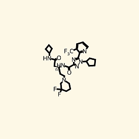 O=C(C[C@H](CCN1CCCC(F)(F)C1)NC(=O)c1nc(-c2ncccc2C(F)(F)F)n(C2CCCC2)n1)NC1CCC1